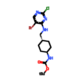 CC(C)(C)OC(=O)N[C@H]1CC[C@H](CNc2nc(Cl)ncc2Br)CC1